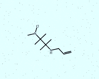 C=CCNC(C)(C)C(C)(C)N(C)Cl